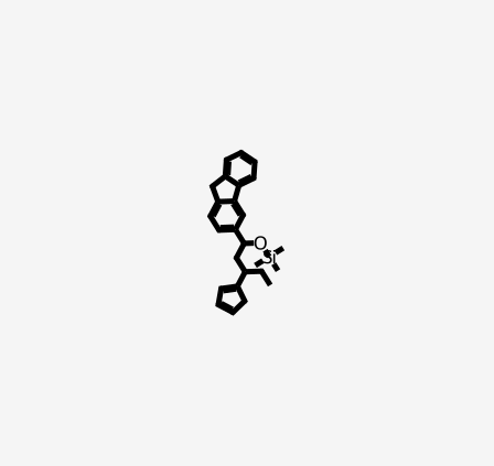 CCC(CC(O[Si](C)(C)C)c1ccc2c(c1)-c1ccccc1C2)C1=CC=CC1